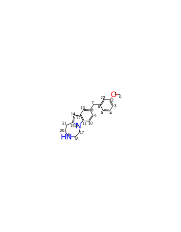 COc1cccc(Cc2ccc3c(c2)cc2n3CCNCC2)c1